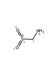 NC[SH](=O)=O